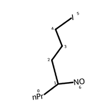 CCCC(CCCI)N=O